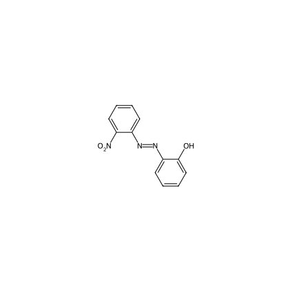 O=[N+]([O-])c1ccccc1N=Nc1ccccc1O